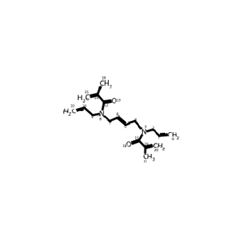 C=CCN(C/C=C/CN(CC=C)C(=O)C(=C)C)C(=O)C(=C)C